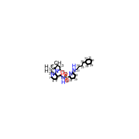 CC1CCN(c2ncccc2C(=O)NS(=O)(=O)c2cccc(NCCCCc3ccccc3)n2)C1(C)C